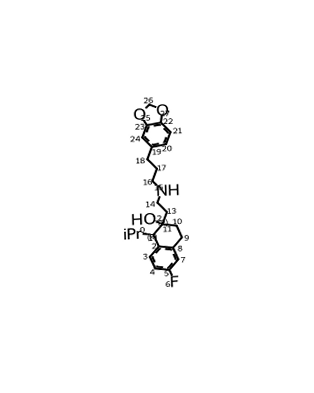 CC(C)[C@@H]1c2ccc(F)cc2CC[C@@]1(O)CCNCCCc1ccc2c(c1)OCO2